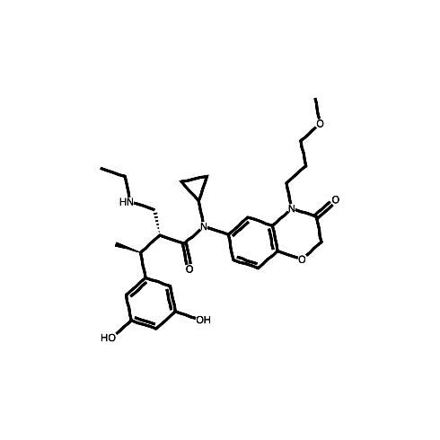 CCNC[C@H](C(=O)N(c1ccc2c(c1)N(CCCOC)C(=O)CO2)C1CC1)[C@H](C)c1cc(O)cc(O)c1